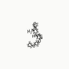 Nc1cc(Nc2cc(Oc3ccc(Oc4ccccc4)cc3)ncn2)ccc1N1CCOCC1